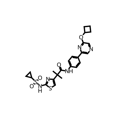 CC(C)(C(=O)Nc1ccc(-c2cncc(OC3CCC3)n2)cc1)c1csc(NS(=O)(=O)C2CC2)n1